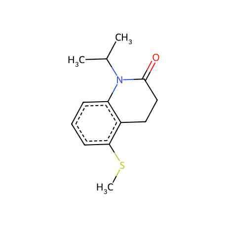 CSc1cccc2c1CCC(=O)N2C(C)C